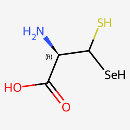 N[C@H](C(=O)O)C(S)[SeH]